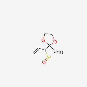 C=CC([S+]=O)C1(C=O)OCCO1